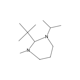 CC(C)N1CCCN(C)C1C(C)(C)C